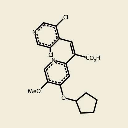 COc1cnc(/C(=C\c2c(Cl)cncc2Cl)C(=O)O)cc1OC1CCCC1